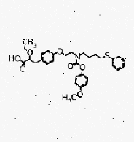 CCOC(Cc1ccc(OCCN(CCCCSc2ccccc2)C(=O)Oc2ccc(OC)cc2)cc1)C(=O)O